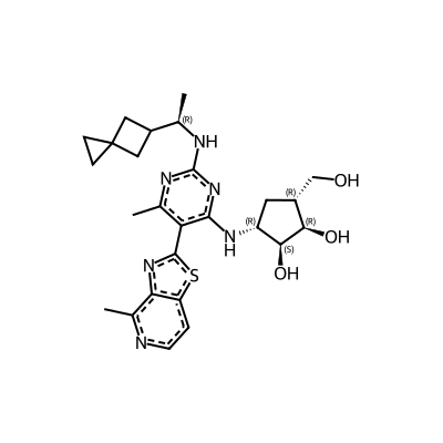 Cc1nc(N[C@H](C)C2CC3(CC3)C2)nc(N[C@@H]2C[C@H](CO)[C@@H](O)[C@H]2O)c1-c1nc2c(C)nccc2s1